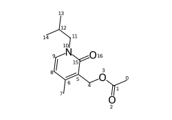 CC(=O)OCc1c(C)ccn(CC(C)C)c1=O